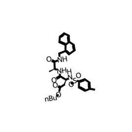 CCCCOC(=O)C[C@H](NS(=O)(=O)c1ccc(C)cc1)C(=O)N[C@@H](C)C(=O)NCc1cccc2ccccc12